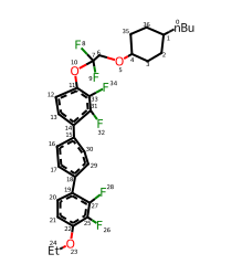 CCCCC1CCC(OCC(F)(F)Oc2ccc(-c3ccc(-c4ccc(OCC)c(F)c4F)cc3)c(F)c2F)CC1